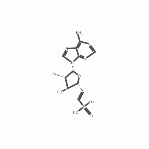 Nc1ncnc2c1ncn2[C@@H]1O[C@H](/C=C/P(=O)(O)O)[C@@H](O)[C@@H]1F